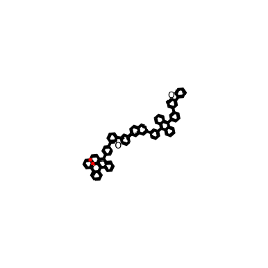 c1ccc(-c2ccccc2-c2c3ccccc3c(-c3ccc(-c4cccc5c4oc4ccc(-c6ccc7ccc(-c8cccc(-c9c%10ccccc%10c(-c%10cccc(-c%11ccc%12oc%13ccccc%13c%12c%11)c%10)c%10ccccc9%10)c8)cc7c6)cc45)cc3)c3ccccc23)cc1